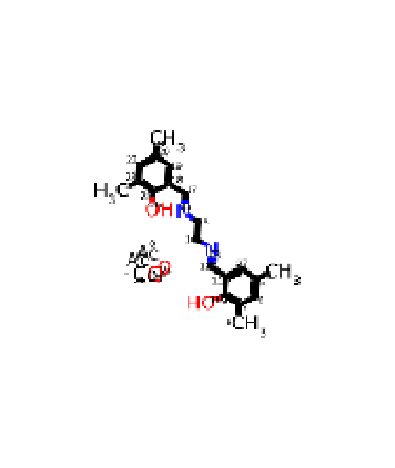 CC(=O)[O-].CC(=O)[O-].Cc1cc(C)c(O)c(C=NCCN=Cc2cc(C)cc(C)c2O)c1.[Co+2]